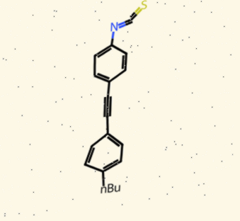 CCCCc1ccc(C#Cc2ccc(N=C=S)cc2)cc1